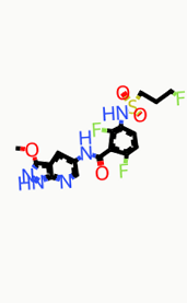 COc1n[nH]c2ncc(NC(=O)c3c(F)ccc(NS(=O)(=O)CCCF)c3F)cc12